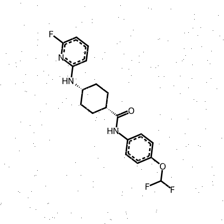 O=C(Nc1ccc(OC(F)F)cc1)[C@H]1CC[C@@H](Nc2cccc(F)n2)CC1